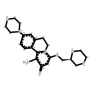 Cc1c2n(c(OC[C@@H]3COCCO3)cc1=O)CCc1cc(N3CCOCC3)ccc1-2